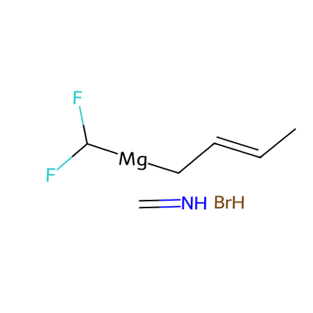 Br.C=N.CC=C[CH2][Mg][CH](F)F